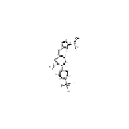 CC1CN(Cc2ccc([N+](=O)[O-])o2)CCN1c1ccc(C(F)(F)F)cc1